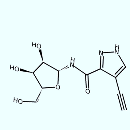 C#Cc1c[nH]nc1C(=O)N[C@@H]1O[C@H](CO)[C@@H](O)[C@H]1O